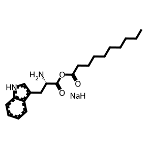 CCCCCCCCCC(=O)OC(=O)[C@@H](N)Cc1c[nH]c2ccccc12.[NaH]